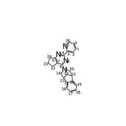 c1ccc(-c2nc3c(c(N4CC5CC(C4)c4ccccc45)n2)CCC3)nc1